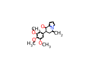 C=C1CC(c2cc(OC)c(OC)c(OC)c2)C(=O)c2cccn21